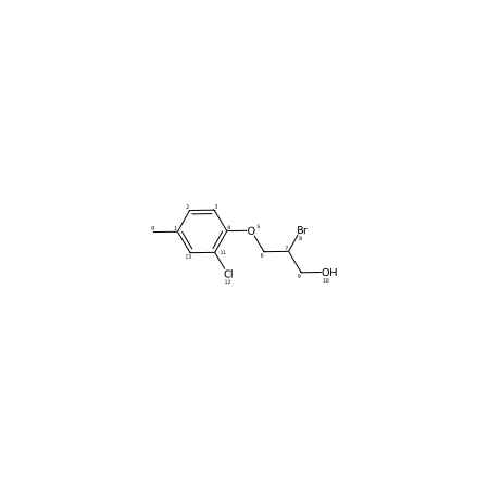 Cc1ccc(OCC(Br)CO)c(Cl)c1